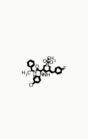 C[C@@H](NC(=O)C1C2=C(NN1c1ccc(Cl)cc1)/C(=C/c1ccc(F)cc1)CN(S(C)(=O)=O)C2)c1ccccc1